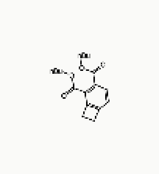 CCCCOC(=O)c1ccc2c(c1C(=O)OCCCC)CC2